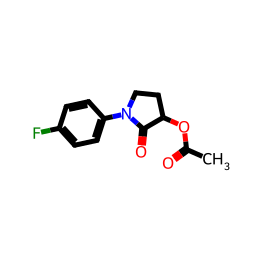 CC(=O)OC1CCN(c2ccc(F)cc2)C1=O